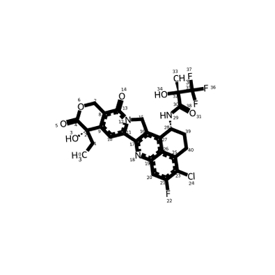 CC[C@@]1(O)C(=O)OCc2c1cc1n(c2=O)Cc2c-1nc1cc(F)c(Cl)c3c1c2[C@H](NC(=O)[C@](C)(O)C(F)(F)F)CC3